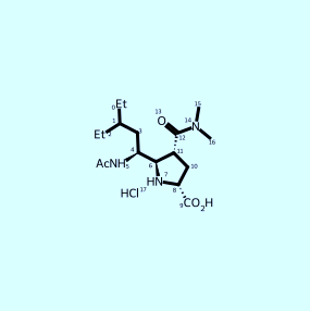 CCC(CC)C[C@H](NC(C)=O)[C@@H]1N[C@@H](C(=O)O)C[C@H]1C(=O)N(C)C.Cl